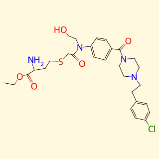 CCOC(=O)C(N)CCSCC(=O)N(CCO)c1ccc(C(=O)N2CCN(CCc3ccc(Cl)cc3)CC2)cc1